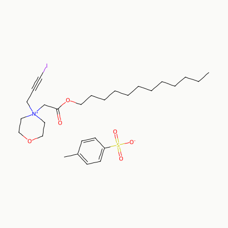 CCCCCCCCCCCCOC(=O)C[N+]1(CC#CI)CCOCC1.Cc1ccc(S(=O)(=O)[O-])cc1